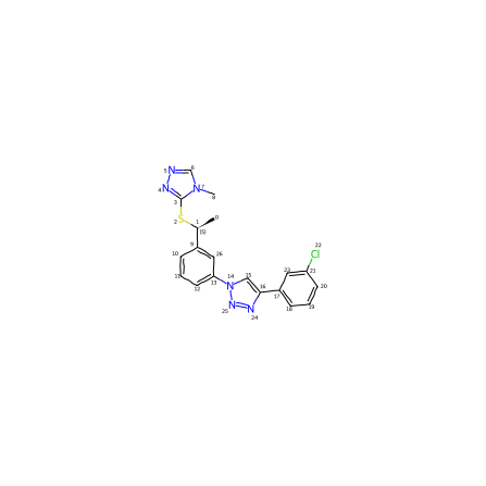 C[C@H](Sc1nncn1C)c1cccc(-n2cc(-c3cccc(Cl)c3)nn2)c1